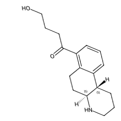 O=C(CCCO)c1cccc2c1CC[C@@H]1NCCC[C@@H]21